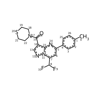 Cc1ccc(-c2cc(C(F)F)n3ncc(C(=O)N4CCSCC4)c3n2)cc1